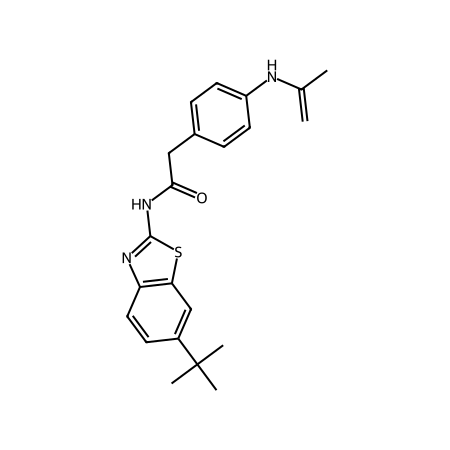 C=C(C)Nc1ccc(CC(=O)Nc2nc3ccc(C(C)(C)C)cc3s2)cc1